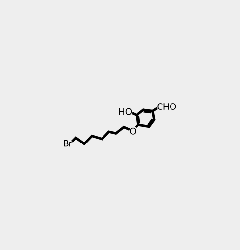 O=Cc1ccc(OCCCCCCCBr)c(O)c1